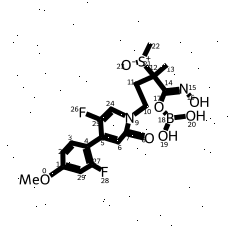 COc1ccc(-c2cc(=O)n(CCC(C)(/C(=N/O)OB(O)O)[S+](C)[O-])cc2F)c(F)c1